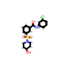 O=C(Nc1cccc(Cl)c1)c1cccc(S(=O)(=O)N2CCC(O)CC2)c1